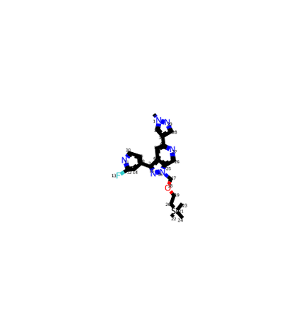 Cn1cc(-c2cc3c(-c4ccnc(F)c4)nn(COCC[Si](C)(C)C)c3cn2)cn1